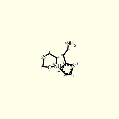 C1CSCCN1.NCCc1cccs1